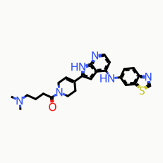 CN(C)CCCC(=O)N1CC=C(c2cc3c(Nc4ccc5ncsc5c4)ccnc3[nH]2)CC1